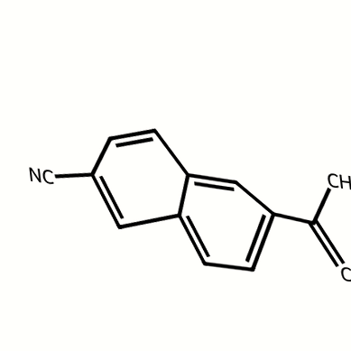 C=C(C)c1ccc2cc(C#N)ccc2c1